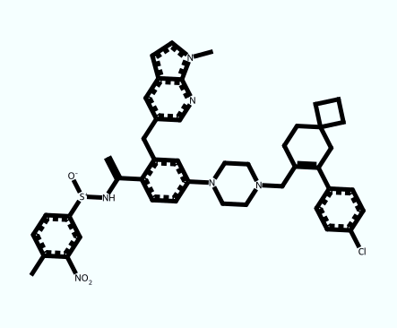 C=C(N[S+]([O-])c1ccc(C)c([N+](=O)[O-])c1)c1ccc(N2CCN(CC3=C(c4ccc(Cl)cc4)CC4(CCC4)CC3)CC2)cc1Cc1cnc2c(ccn2C)c1